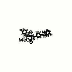 COC(=O)c1sc(-c2ccc(-c3cc4nc(C)ccn4n3)cc2)cc1N(C(=O)[C@H]1CC[C@H](C)CC1)C(C)C